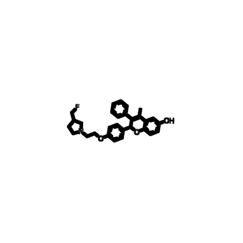 CC1=C(c2ccccc2)C(c2ccc(OCCN3CCC(CF)C3)cc2)Oc2ccc(O)cc21